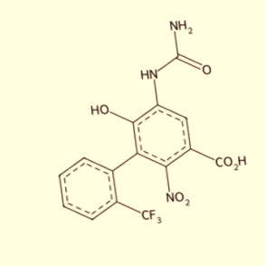 NC(=O)Nc1cc(C(=O)O)c([N+](=O)[O-])c(-c2ccccc2C(F)(F)F)c1O